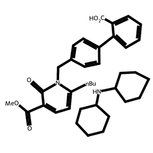 C1CCC(NC2CCCCC2)CC1.CCCCc1ccc(C(=O)OC)c(=O)n1Cc1ccc(-c2ccccc2C(=O)O)cc1